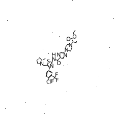 CCOC(=O)C(C)N1CCN(c2cnc(C(=O)Nc3nc(-c4ccc(Cl)c(C(F)(F)F)c4)c(CN4CCCC4C)s3)cn2)CC1